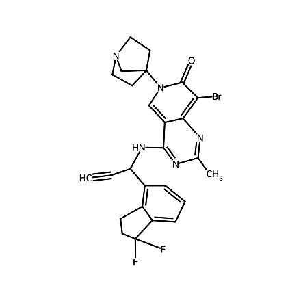 C#CC(Nc1nc(C)nc2c(Br)c(=O)n(C34CCN(CC3)C4)cc12)c1cccc2c1CCC2(F)F